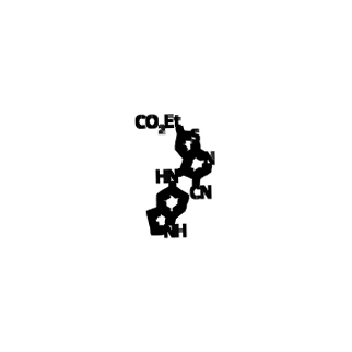 CCOC(=O)c1cc2c(Nc3ccc4[nH]ccc4c3)c(C#N)cnc2s1